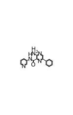 Nc1ncc(-c2ccccc2)nc1C(=O)Nc1cccnc1